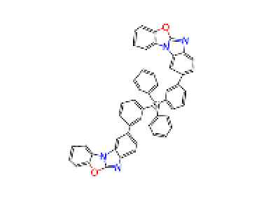 c1ccc([Si](c2ccccc2)(c2cccc(-c3ccc4nc5oc6ccccc6n5c4c3)c2)c2cccc(-c3ccc4nc5oc6ccccc6n5c4c3)c2)cc1